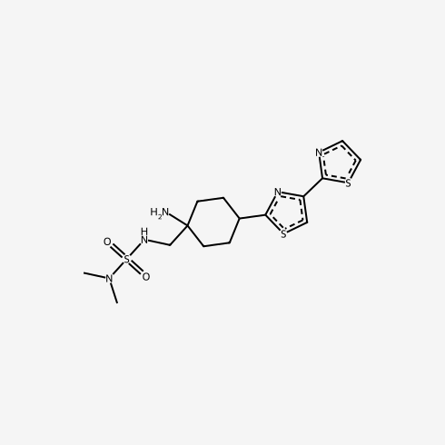 CN(C)S(=O)(=O)NCC1(N)CCC(c2nc(-c3nccs3)cs2)CC1